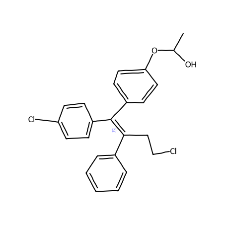 CC(O)Oc1ccc(/C(=C(\CCCl)c2ccccc2)c2ccc(Cl)cc2)cc1